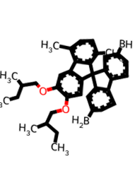 Bc1ccc2c(c1)C1(c3cc(B)ccc3-2)c2cc(OCC(C)CC)c(OCC(C)CC)cc2-c2c(C)ccc(C)c21